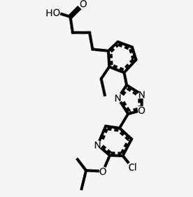 CCc1c(CCCC(=O)O)cccc1-c1noc(-c2cnc(OC(C)C)c(Cl)c2)n1